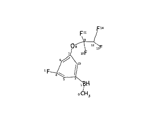 CBc1cc(F)cc(OC(F)(F)C(F)F)c1